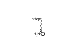 CCCCCCCCCCCCSc1ccccc1N